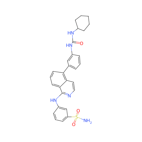 NS(=O)(=O)c1cccc(Nc2nccc3c(-c4cccc(NC(=O)NC5CCCCC5)c4)cccc23)c1